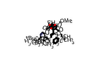 COCOc1cc2c(ncn2C)c(C(CC[C@@H]2OC(C)(C)O[C@H]2C(/C=C\[C@@H](C)[C@H](C)O[Si](C)(C)C(C)(C)C)OC(=O)c2ccccc2)Sc2ccccc2)c1C(=O)OCC[Si](C)(C)C